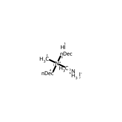 CCCCCCCCCC[N+](C)(C)CCCCCCCCCC.I.N.[I-]